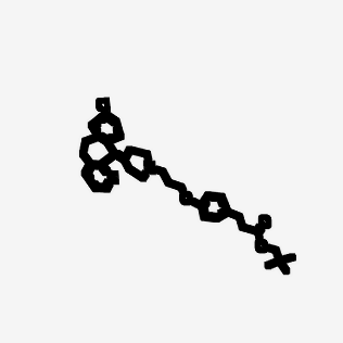 CC(C)(C)COC(=O)CCc1ccc(OCCCN2CCC(=C3c4ccc(Cl)cc4CCc4cccnc43)CC2)cc1